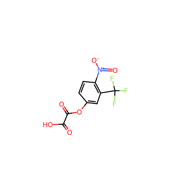 O=C(O)C(=O)Oc1ccc([N+](=O)[O-])c(C(F)(F)F)c1